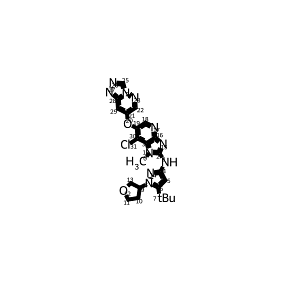 Cn1c(Nc2cc(C(C)(C)C)n(C3CCOC3)n2)nc2ncc(Oc3cnn4cnnc4c3)c(Cl)c21